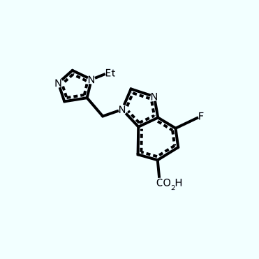 CCn1cncc1Cn1cnc2c(F)cc(C(=O)O)cc21